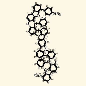 Cc1ccc2c(oc3c(-c4ccc(C(C)(C)C)cc4)cccc32)c1N(c1ccccc1)c1cccc2c1c1cccc3c4cc5c(cc4n2c31)c1cccc2c3c(N(c4ccccc4)c4c(C)ccc6c4oc4c(C(C)(C)C)cccc46)cccc3n5c12